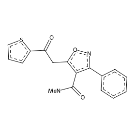 CNC(=O)c1c(-c2ccccc2)noc1CC(=O)c1cccs1